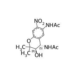 CC(=O)Nc1cc2c(cc1[N+](=O)[O-])OC(C)(C)[C@H](O)[C@H]2NC(C)=O